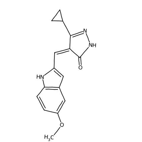 COc1ccc2[nH]c(/C=C3\C(=O)NN=C3C3CC3)cc2c1